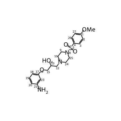 COc1ccc(S(=O)(=O)N2CCN(CC(O)COc3cccc(N)c3)CC2)cc1